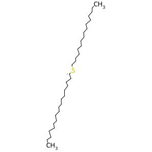 CCCCCCCCCCCCCCCCC[CH]SCCCCCCCCCCCCCCCC